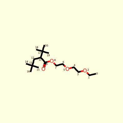 CCOCCOCCOC(=O)C(CC(C)(C)C)C(C)(C)C